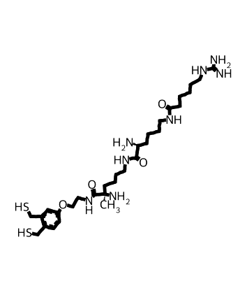 C[C@@](N)(CCCCNC(=O)[C@@H](N)CCCCNC(=O)CCCCCNC(=N)N)C(=O)NCCOc1ccc(CS)c(CS)c1